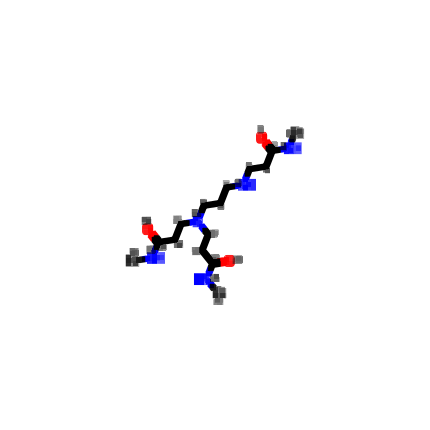 CCNC(=O)CCNCCCN(CCC(=O)NCC)CCC(=O)NCC